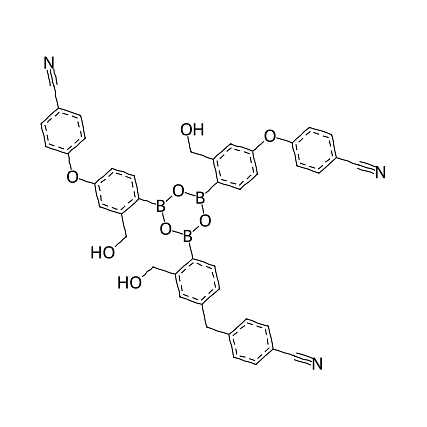 N#Cc1ccc(Cc2ccc(B3OB(c4ccc(Oc5ccc(C#N)cc5)cc4CO)OB(c4ccc(Oc5ccc(C#N)cc5)cc4CO)O3)c(CO)c2)cc1